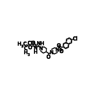 CC(C)(C)OC(=O)NC(=N)N1CCC(C(=O)N2CCN(S(=O)(=O)c3ccc4cc(Cl)ccc4c3)CC2)CC1